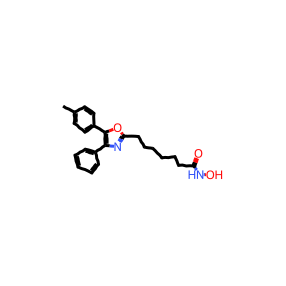 Cc1ccc(-c2oc(CCCCCCC(=O)NO)nc2-c2ccccc2)cc1